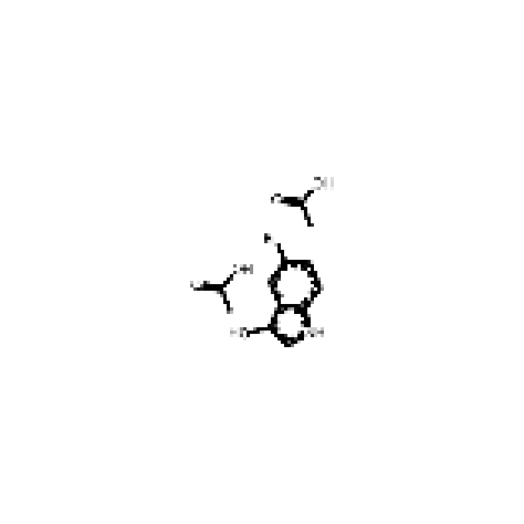 CC(=O)O.CC(=O)O.Oc1c[nH]c2ccc(Br)cc12